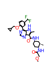 COCC(=O)N[C@H]1CC[C@@H](NC(=O)c2c(C)[nH]c3c(-c4cc(C(F)F)ccc4OCC4CC4)ncnc23)C[C@H]1C